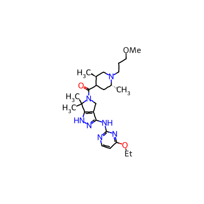 CCOc1ccnc(Nc2n[nH]c3c2CN(C(=O)C2C[C@@H](C)N(CCCOC)C[C@@H]2C)C3(C)C)n1